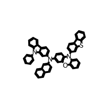 c1ccc(-n2c3ccccc3c3ccc(N(c4ccc5c(c4)Oc4ccccc4N5c4ccc5c(c4)sc4ccccc45)c4ccc5ccccc5c4)cc32)cc1